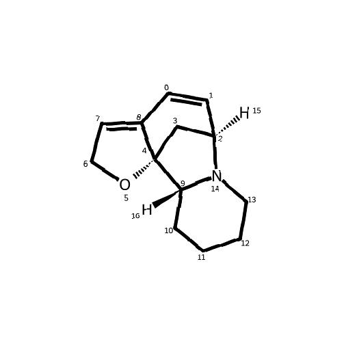 C1=C[C@@H]2C[C@@]3(OCC=C13)[C@H]1CCCCN21